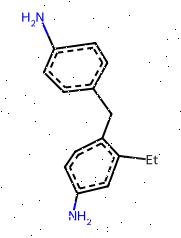 CCc1cc(N)ccc1Cc1ccc(N)cc1